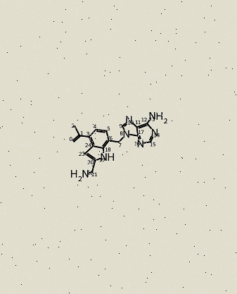 C=C(C)c1ccc(Cn2cnc3c(N)ncnc32)c2[nH]c(CN)cc12